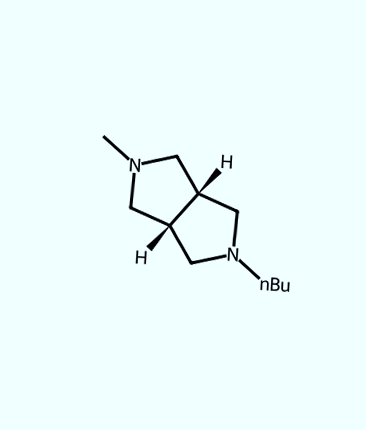 CCCCN1C[C@H]2CN(C)C[C@H]2C1